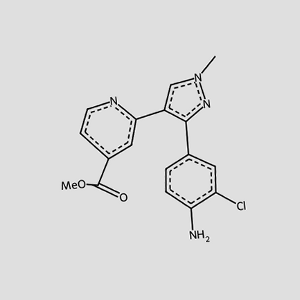 COC(=O)c1ccnc(-c2cn(C)nc2-c2ccc(N)c(Cl)c2)c1